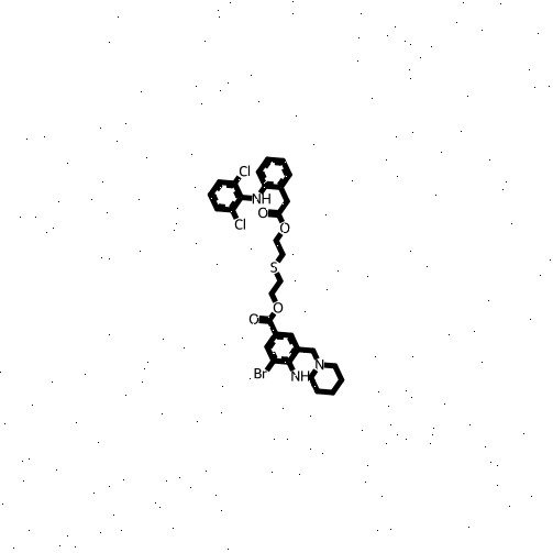 Nc1c(Br)cc(C(=O)OCCSCCOC(=O)Cc2ccccc2Nc2c(Cl)cccc2Cl)cc1CN1CCCCC1